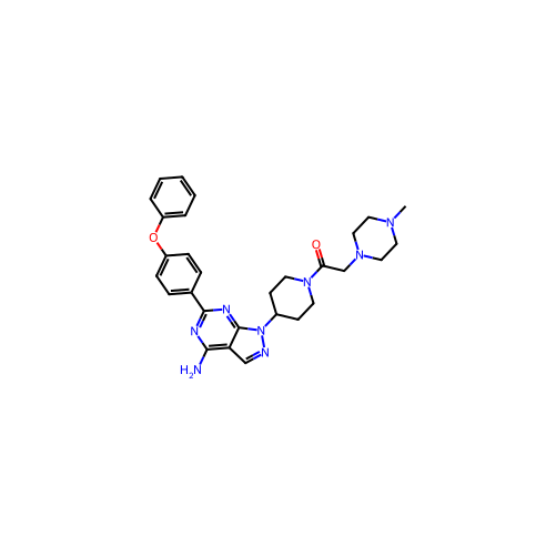 CN1CCN(CC(=O)N2CCC(n3ncc4c(N)nc(-c5ccc(Oc6ccccc6)cc5)nc43)CC2)CC1